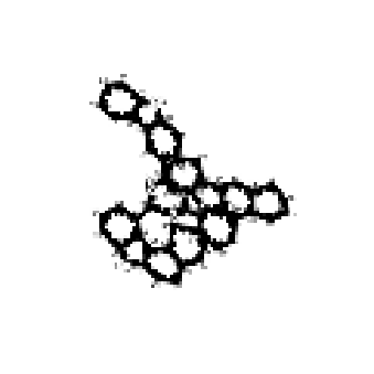 c1ccc(-c2nc(-c3ccc4oc5ccccc5c4c3)nc(-c3cccc4oc5ccc6ccc(-n7c8ccccc8c8cc9ccccc9cc87)cc6c5c34)n2)cc1